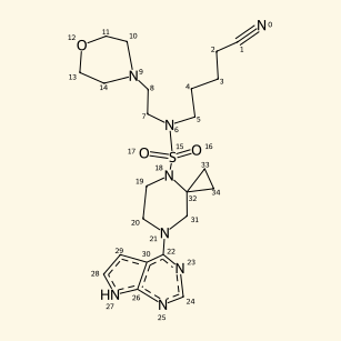 N#CCCCCN(CCN1CCOCC1)S(=O)(=O)N1CCN(c2ncnc3[nH]ccc23)CC12CC2